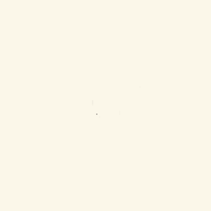 CCN(C)/N=C(C)\C=C\C(C)C